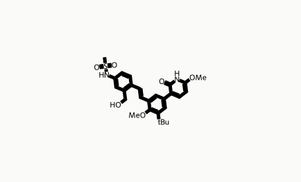 COc1ccc(-c2cc(C=Cc3ccc(NS(C)(=O)=O)cc3CO)c(OC)c(C(C)(C)C)c2)c(=O)[nH]1